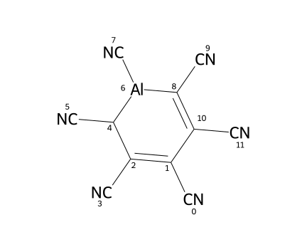 N#CC1=C(C#N)[CH](C#N)[Al]([C]#N)[C](C#N)=C1C#N